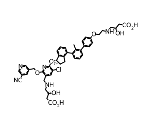 Cc1c(-c2ccc(OCCNC[C@@H](O)CC(=O)O)cc2)cccc1-c1cccc2c1CC[C@@H]2Oc1nc(OCc2cncc(C#N)c2)c(CNC[C@@H](O)CC(=O)O)cc1Cl